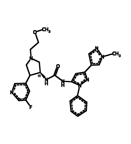 COCCN1CC(c2cncc(F)c2)[C@H](NC(=O)Nc2cc(-c3cnn(C)c3)nn2-c2ccccc2)C1